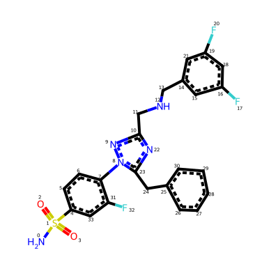 NS(=O)(=O)c1ccc(-n2nc(CNCc3cc(F)cc(F)c3)nc2Cc2ccccc2)c(F)c1